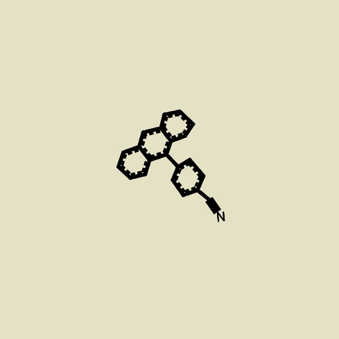 N#Cc1ccc(-c2c3ccccc3cc3ccccc23)cc1